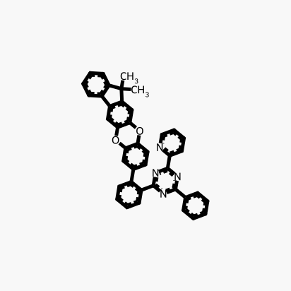 CC1(C)c2ccccc2-c2cc3c(cc21)Oc1ccc(-c2ccccc2-c2nc(-c4ccccc4)nc(-c4ccccn4)n2)cc1O3